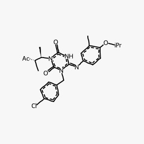 CC(=O)[C@@H](C)[C@@H](C)n1c(=O)[nH]/c(=N\c2ccc(OC(C)C)c(C)c2)n(Cc2ccc(Cl)cc2)c1=O